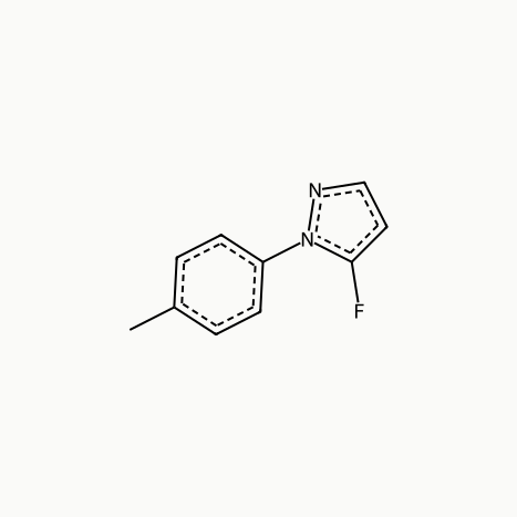 Cc1ccc(-n2nccc2F)cc1